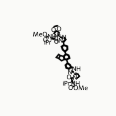 COC(=O)N[C@H](C(=O)N1CC2(C[C@H]1c1ncc(-c3ccc(-c4ccc(-c5ccc6nc([C@@H]7CCCN7C(=O)[C@@H](NC(=O)OC)C(C)C)[nH]c6c5)c5c4C4CCC4C5)cc3)[nH]1)OCCO2)C(C)C